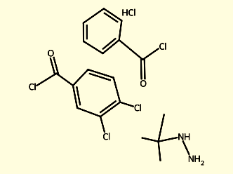 CC(C)(C)NN.Cl.O=C(Cl)c1ccc(Cl)c(Cl)c1.O=C(Cl)c1ccccc1